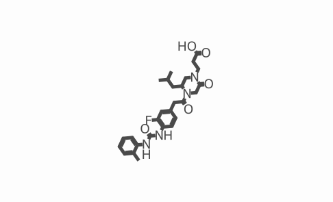 Cc1ccccc1NC(=O)Nc1ccc(CC(=O)N2CC(=O)N(CCC(=O)O)CC2CC(C)C)cc1F